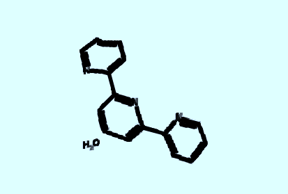 O.c1ccc(-c2cccc(-c3ccccn3)n2)nc1